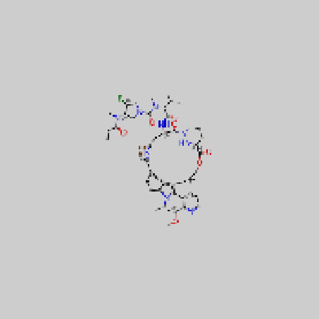 C=CC(=O)N(C)[C@H]1CN(C(=O)N(C)C(C(=O)N[C@H]2Cc3nc(cs3)-c3ccc4c(c3)c(c(-c3cccnc3[C@H](C)OC)n4CC)CC(C)(C)COC(=O)[C@@H]3CCCN(N3)C2=O)C(C)C)C[C@@H]1F